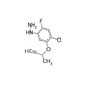 C#CC(C)Oc1cc(NN)c(F)cc1Cl